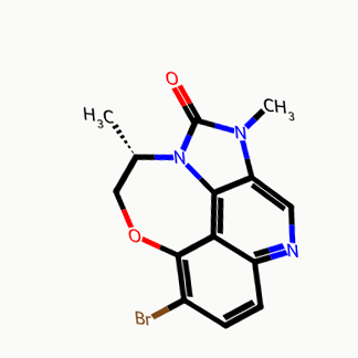 C[C@H]1COc2c(Br)ccc3ncc4c(c23)n1c(=O)n4C